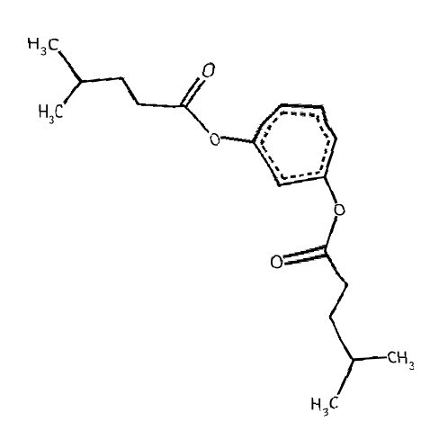 CC(C)CCC(=O)Oc1cccc(OC(=O)CCC(C)C)c1